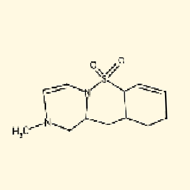 CN1C=CN2C(CC3CCC=CC3S2(=O)=O)C1